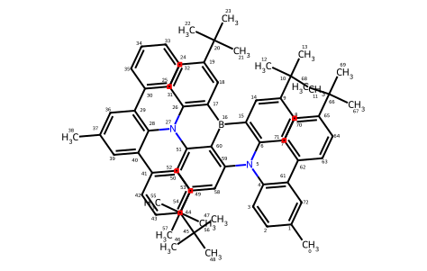 Cc1ccc(N2c3ccc(C(C)(C)C)cc3B3c4cc(C(C)(C)C)ccc4N(c4c(-c5ccccc5)cc(C)cc4-c4ccc(C(C)(C)C)cc4)c4cc(C(C)(C)C)cc2c43)c(-c2ccc(C(C)(C)C)cc2)c1